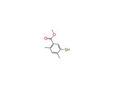 COC(=O)c1cc(S)c(C)cc1C